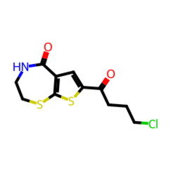 O=C(CCCCl)c1cc2c(s1)SCCNC2=O